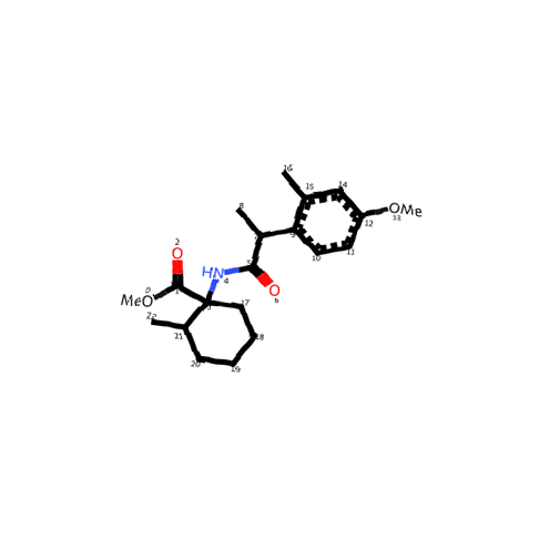 COC(=O)C1(NC(=O)C(C)c2ccc(OC)cc2C)CCCCC1C